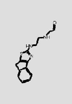 O=[C]CNCCNc1nc2c(s1)Cc1ccccc1-2